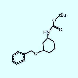 CC(C)(C)OC(=O)N[C@H]1CCC[C@@H](OCc2ccccc2)C1